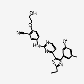 CCc1nc(-c2cc(C)cc(OC)c2)c(-c2ccnc(Nc3ccc(OCCO)c(C#N)c3)n2)s1